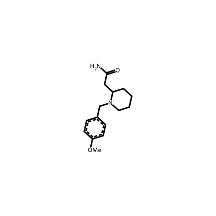 COc1ccc(CN2CCCCC2CC(N)=O)cc1